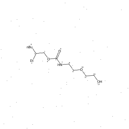 CCCCC(CC)COC(=O)NCCOCCO